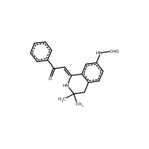 CC1(C)Cc2ccc(NC=O)cc2/C(=C/C(=O)c2ccccc2)N1